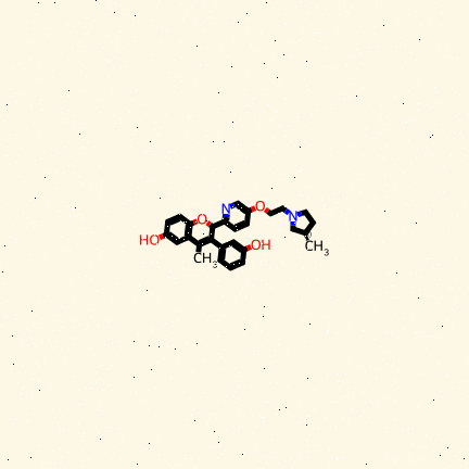 CC1=C(c2cccc(O)c2)C(c2ccc(OCCN3CC[C@@H](C)C3)cn2)Oc2ccc(O)cc21